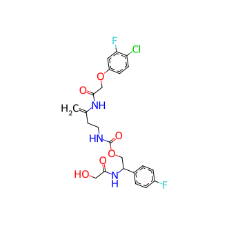 C=C(CCNC(=O)OCC(NC(=O)CO)c1ccc(F)cc1)NC(=O)COc1ccc(Cl)c(F)c1